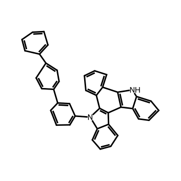 c1ccc(-c2ccc(-c3cccc(-n4c5ccccc5c5c6c7ccccc7[nH]c6c6ccccc6c54)c3)cc2)cc1